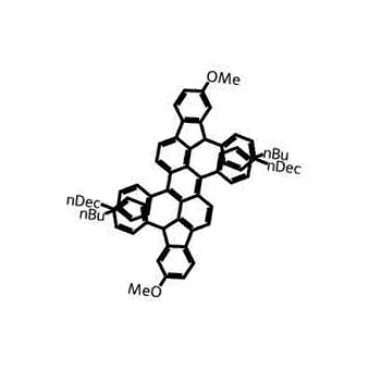 CCCCCCCCCCc1ccc(C2c3cc(OC)ccc3-c3ccc4c(-c5ccc(CCCC)cc5)c5c6c(ccc5c(-c5ccc(CCCC)cc5)c4c32)-c2ccc(OC)cc2C6c2ccc(CCCCCCCCCC)cc2)cc1